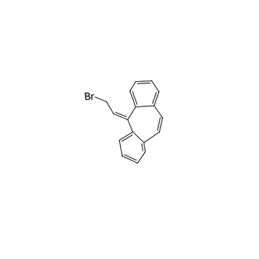 BrCC=C1c2ccccc2C=Cc2ccccc21